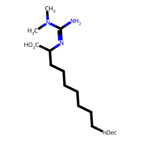 CCCCCCCCCCCCCCCCCC(N=C(N)N(C)C)C(=O)O